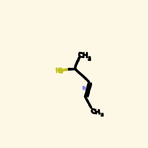 C/C=C/C(C)S